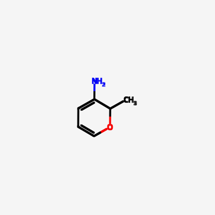 CC1OC=CC=C1N